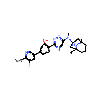 CSc1ncc(-c2ccc(-c3ncc(N(C)[C@@H]4C[C@H]5CCC[C@@H](C4)N5)nn3)c(O)c2)cc1F